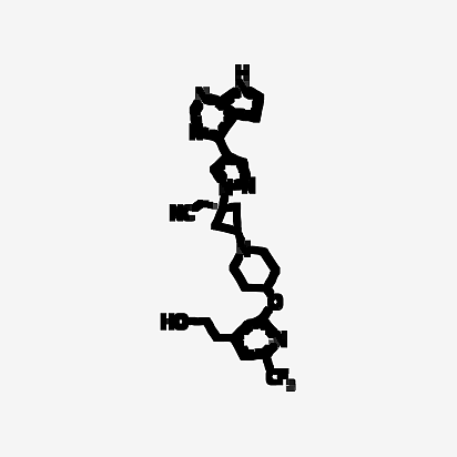 N#CC[C@]1(n2cc(-c3ncnc4[nH]ccc34)cn2)C[C@@H](N2CCC(Oc3cc(CCO)cc(C(F)(F)F)n3)CC2)C1